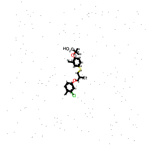 CCC(COc1ccc(C)c(Cl)c1)CSc1ccc(OC(C)(C)C(=O)O)c(C)c1